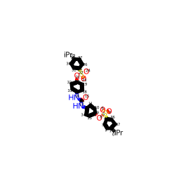 CC(C)c1ccc(S(=O)(=O)Oc2ccc(NC(=O)Nc3ccc(OS(=O)(=O)c4ccc(C(C)C)cc4)cc3)cc2)cc1